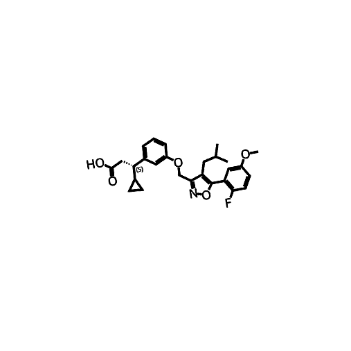 COc1ccc(F)c(-c2onc(COc3cccc([C@@H](CC(=O)O)C4CC4)c3)c2CC(C)C)c1